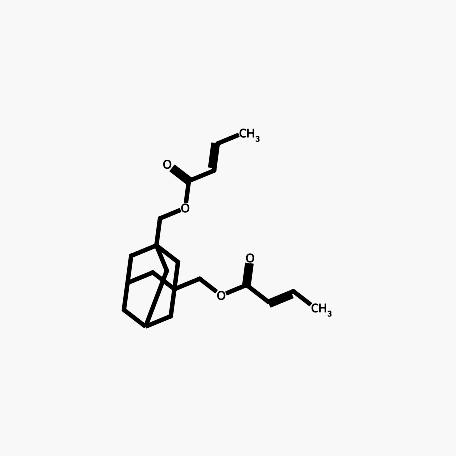 CC=CC(=O)OCC12CC3CC(C1)CC(COC(=O)C=CC)(C3)C2